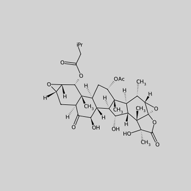 CC(=O)O[C@H]1C[C@H]2[C@H]([C@@H]3[C@@H](O)[C@@H]4[C@H]([C@H](C)[C@@H]5O[C@@]56OC(=O)[C@@](C)(O)[C@]46C)[C@]31C)[C@@H](O)C(=O)[C@H]1C[C@@H]3O[C@@H]3[C@H](OC(=O)CC(C)C)[C@@]12C